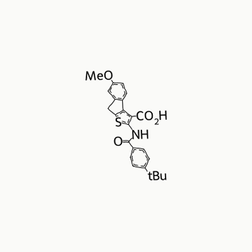 COc1ccc2c(c1)Cc1sc(NC(=O)c3ccc(C(C)(C)C)cc3)c(C(=O)O)c1-2